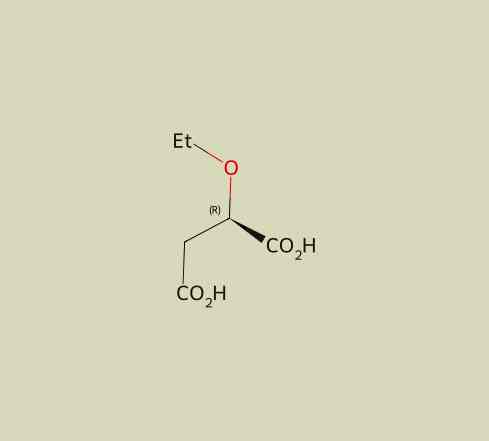 CCO[C@H](CC(=O)O)C(=O)O